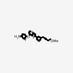 COCCC#CCc1cccc(-c2cc3nccc(Oc4ccc(N)cc4F)c3s2)c1